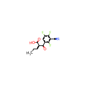 CC/C=C(\C(=O)O)C(=O)c1cc(F)c(F)c(C#N)c1F